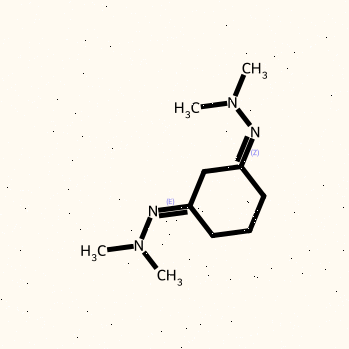 CN(C)/N=C1/CCC/C(=N\N(C)C)C1